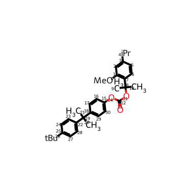 COc1cc(C(C)C)ccc1C(C)(C)OC(=O)Oc1ccc(C(C)(C)c2ccc(C(C)(C)C)cc2)cc1